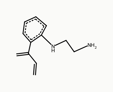 C=CC(=C)c1ccccc1NCCN